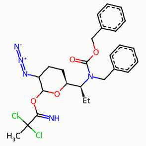 CC[C@@H]([C@@H]1CCC(N=[N+]=[N-])C(OC(=N)C(C)(Cl)Cl)O1)N(Cc1ccccc1)C(=O)OCc1ccccc1